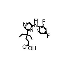 CCC(CC)(CCC(=O)O)c1cncc(Nc2ncc(F)cc2F)n1